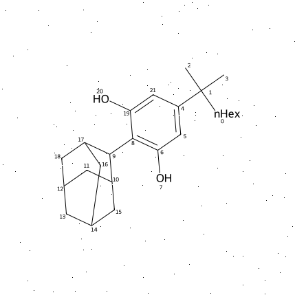 CCCCCCC(C)(C)c1cc(O)c(C2C3CC4CC(C3)CC2C4)c(O)c1